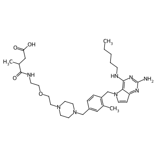 CCCCCNc1nc(N)nc2ccn(Cc3ccc(CN4CCN(CCOCCNC(=O)C(C)CC(=O)O)CC4)cc3C)c12